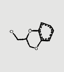 [O]CC1COc2ccccc2O1